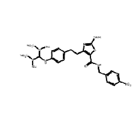 CC(=O)Nc1nc(CCc2ccc(NC(N(C(=O)O)C(C)(C)C)N(C(=O)O)C(C)(C)C)cc2)c(C(=O)NCc2ccc([N+](=O)[O-])cc2)s1